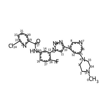 CN1CCN(c2cncc(-c3cn(-c4cc(NC(=O)c5cccc(Cl)n5)ccc4F)nn3)c2)CC1